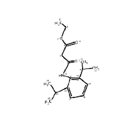 CCOC(=O)CC(=O)Nc1c(C(C)C)cccc1C(C)C